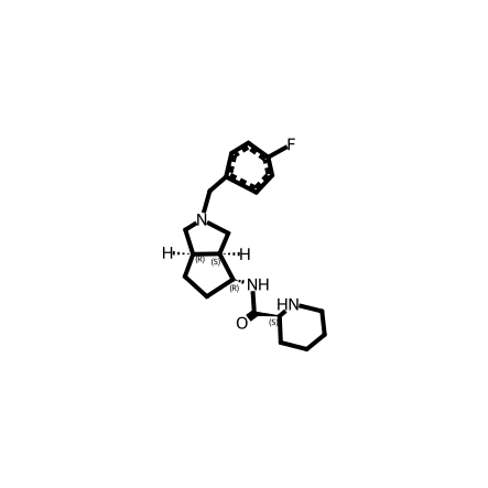 O=C(N[C@@H]1CC[C@H]2CN(Cc3ccc(F)cc3)C[C@H]21)[C@@H]1CCCCN1